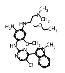 CCOC[C@@H](CN(C)C)Nc1cc(OC)c(Nc2ncc(Cl)c(-c3cn(C)c4ccccc34)n2)cc1N